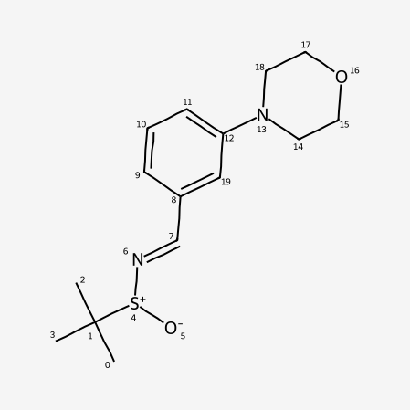 CC(C)(C)[S+]([O-])/N=C/c1cccc(N2CCOCC2)c1